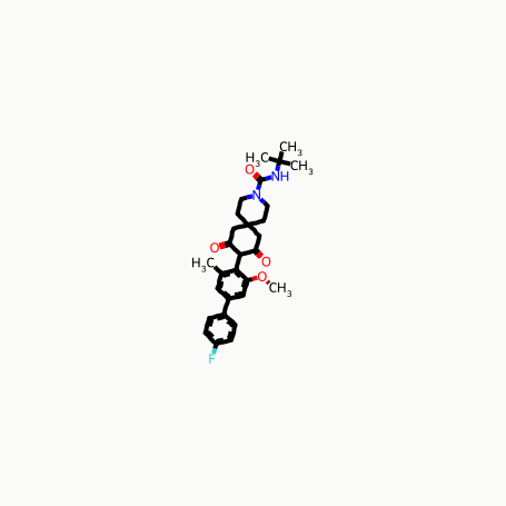 COc1cc(-c2ccc(F)cc2)cc(C)c1C1C(=O)CC2(CCN(C(=O)NC(C)(C)C)CC2)CC1=O